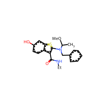 CCNC(=O)c1c(N(Cc2ccccc2)C(C)OC)sc2cc(O)ccc12